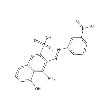 Nc1c(N=Nc2cccc([N+](=O)[O-])c2)c(S(=O)(=O)O)cc2cccc(O)c12